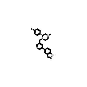 CN1CCN(Cc2cncc(-c3ccc4[nH]ncc4c3)c2)[C@@H](c2ccc(F)cc2)C1